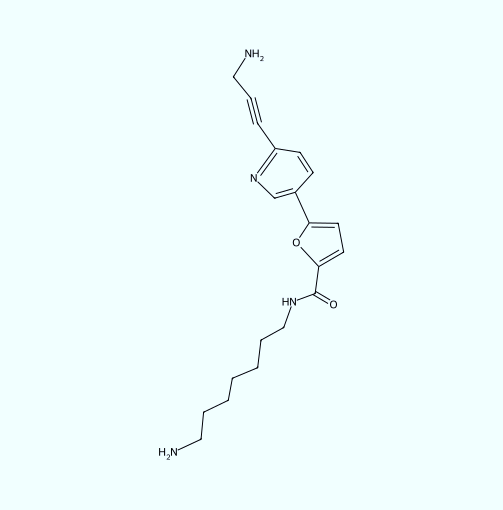 NCC#Cc1ccc(-c2ccc(C(=O)NCCCCCCCN)o2)cn1